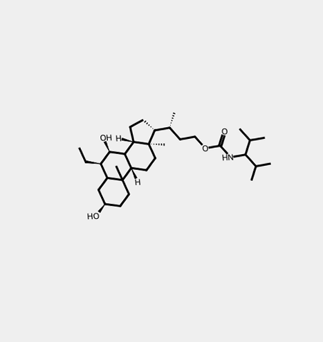 CC[C@@H]1C2C[C@H](O)CCC2(C)[C@H]2CC[C@]3(C)[C@@H]([C@H](C)CCOC(=O)NC(C(C)C)C(C)C)CC[C@H]3C2[C@@H]1O